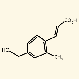 Cc1cc(CO)ccc1/C=C/C(=O)O